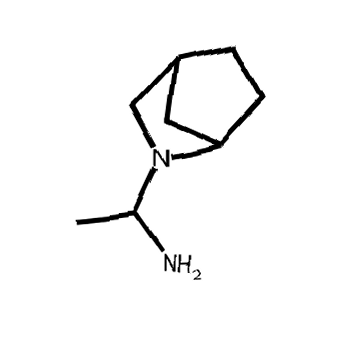 CC(N)N1CC2CCC1C2